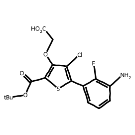 CC(C)(C)OC(=O)c1sc(-c2cccc(N)c2F)c(Cl)c1OCC(=O)O